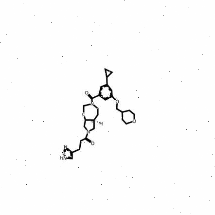 O=C(CCc1c[nH]nn1)N1CC2CCN(C(=O)c3cc(OCC4CCOCC4)cc(C4CC4)c3)CC[C@H]2C1